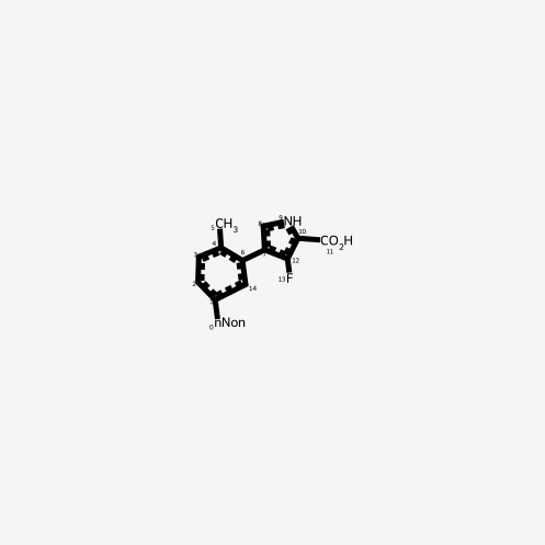 CCCCCCCCCc1ccc(C)c(-c2c[nH]c(C(=O)O)c2F)c1